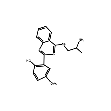 CC(=O)Oc1ccc(O)c(-c2nc(NCC(C)N)c3ccccc3n2)c1